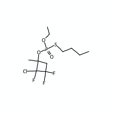 CCCCSP(=O)(OCC)OC1(C)CC(F)(F)C1(F)Cl